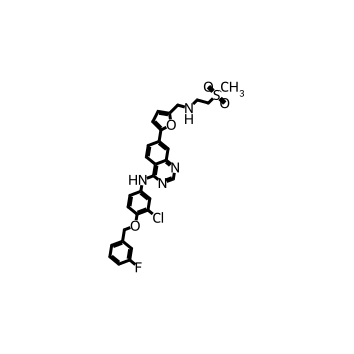 CS(=O)(=O)CCNCc1ccc(-c2ccc3c(Nc4ccc(OCc5cccc(F)c5)c(Cl)c4)ncnc3c2)o1